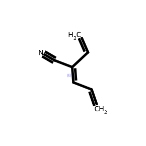 C=C/C=C(/C#N)C=C